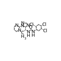 CC(NC(=O)Nc1cc(Cl)c(Cl)cc1Cl)c1ncnn1-c1ncccn1